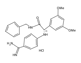 COc1cc(OC)cc([C@H](Nc2ccc(C(=N)N)cc2)C(=O)NCc2ccccc2)c1.Cl